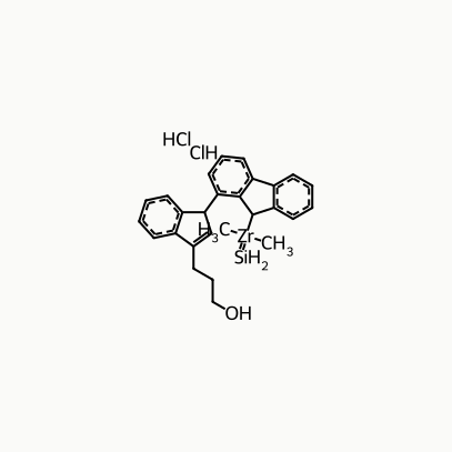 Cl.Cl.[CH3][Zr]([CH3])(=[SiH2])[CH]1c2ccccc2-c2cccc(C3C=C(CCCO)c4ccccc43)c21